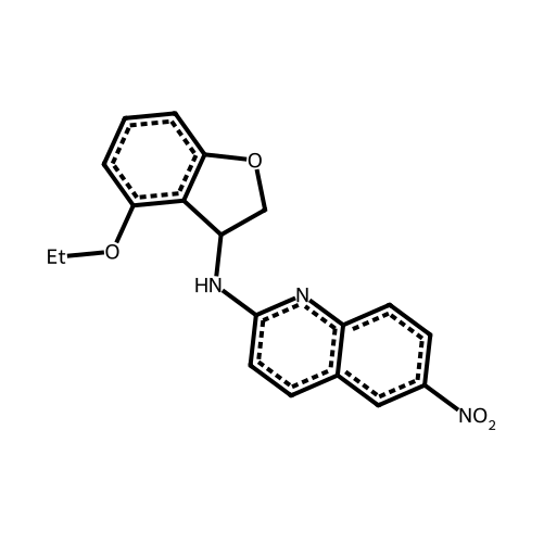 CCOc1cccc2c1C(Nc1ccc3cc([N+](=O)[O-])ccc3n1)CO2